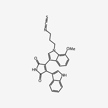 COc1cccc2c(C3=C(c4c[nH]c5ccccc45)C(=O)NC3=O)cn(CCCN=C=S)c12